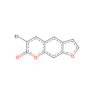 CCc1cc2cc3ccoc3cc2oc1=O